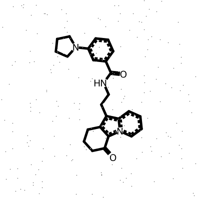 O=C(NCCc1c2c(n3ccccc13)C(=O)CCC2)c1cccc(N2CCCC2)c1